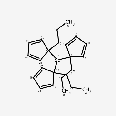 CCC[C]1([Sc]([C]2(CCC)C=CC=C2)[C]2(CCC)C=CC=C2)C=CC=C1